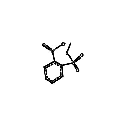 CSS(=O)(=O)c1ccccc1[N+](=O)[O-]